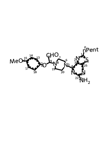 CCCCCc1nc2c(N3CCN(C(C=O)Oc4ccc(OC)cc4)CC3)nc(N)nc2s1